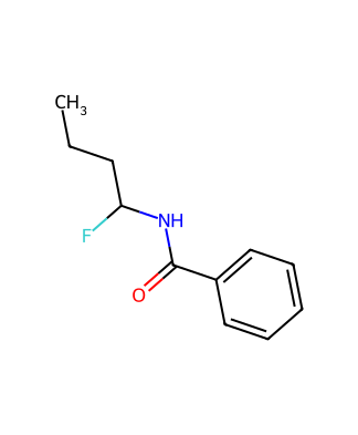 CCCC(F)NC(=O)c1ccccc1